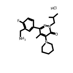 Cc1c(-c2ccc(F)c(CN)c2)nn(CC(C)C)c(=O)c1N1CCCCC1.Cl